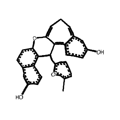 Cc1ccc(C2C3=c4ccc(O)cc4=CCC=C3Oc3ccc4cc(O)ccc4c32)o1